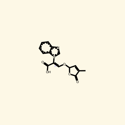 CC1=CC(O/C=C(/C(=O)O)n2cnc3ccccc32)OC1=O